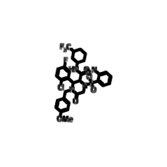 COc1ccc(CN2C(=O)CN(S(=O)(=O)c3ccccc3[N+](=O)[O-])C(C(=O)NC3CCCC(C(F)(F)F)C3)C2c2cc(F)ccc2Cl)cc1